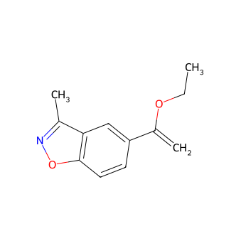 C=C(OCC)c1ccc2onc(C)c2c1